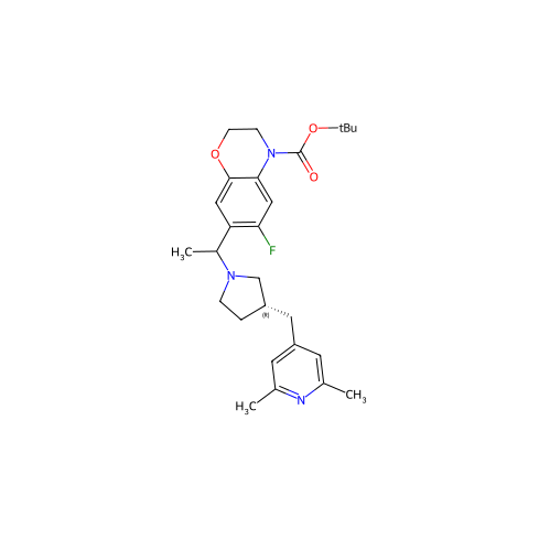 Cc1cc(C[C@@H]2CCN(C(C)c3cc4c(cc3F)N(C(=O)OC(C)(C)C)CCO4)C2)cc(C)n1